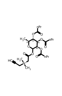 C#CC[N+](C)(C)CC(=O)OC1O[C@@H](C)[C@H](OC(=O)CCC)[C@@H](OC(=O)CCC)[C@H]1OC(=O)CCC